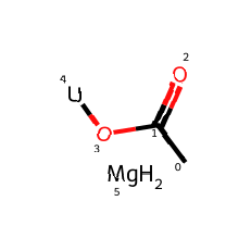 CC(=O)[O][U].[MgH2]